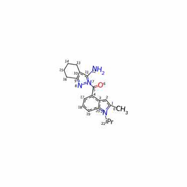 Cc1cc2c(C(=O)n3nc4c(c3N)CCCC4)cccc2n1C(C)C